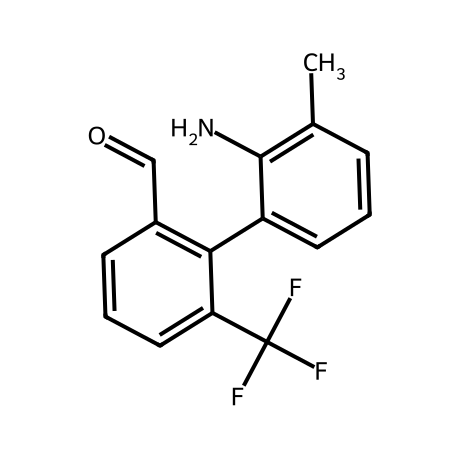 Cc1cccc(-c2c(C=O)cccc2C(F)(F)F)c1N